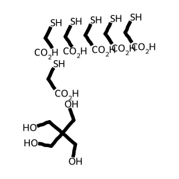 O=C(O)CS.O=C(O)CS.O=C(O)CS.O=C(O)CS.O=C(O)CS.O=C(O)CS.OCC(CO)(CO)CO